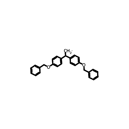 [CH2]C(c1ccc(OCc2ccccc2)cc1)c1ccc(OCc2ccccc2)cc1